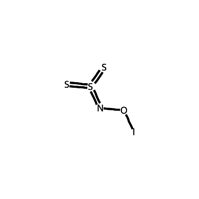 S=S(=S)=NOI